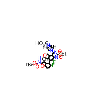 CCS(=O)(=O)c1nc(N2C[C@H]3C[C@@H]2CN3C(=O)O)c2c3c(c(-c4c(F)ccc5oc(NC(=O)OC(C)(C)C)c(C#N)c45)c(F)c2n1)COC3